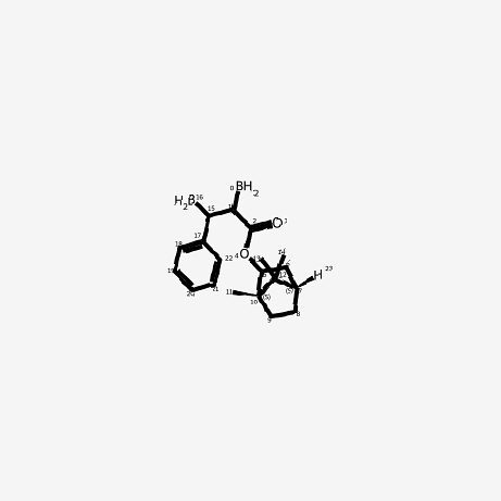 BC(C(=O)OC1C[C@@H]2CC[C@@]1(C)C2(C)C)C(B)c1ccccc1